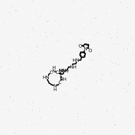 CNC1(CNCCNCCNCc2ccc(N3C(=O)C=CC3=O)cc2)CNCCNCCCNCCNC1